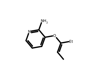 CC=C(CC)Oc1cccnc1N